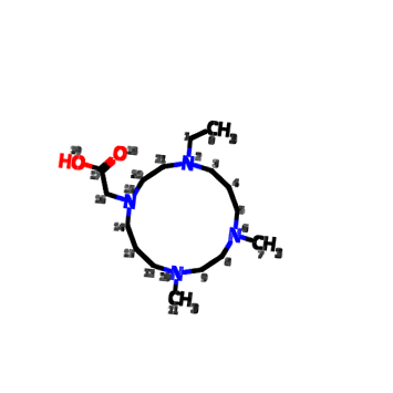 CCN1CCCN(C)CCN(C)CCCN(CC(=O)O)CC1